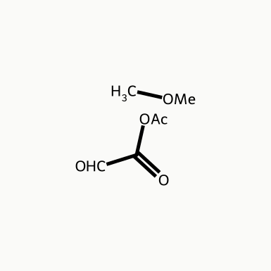 CC(=O)OC(=O)C=O.COC